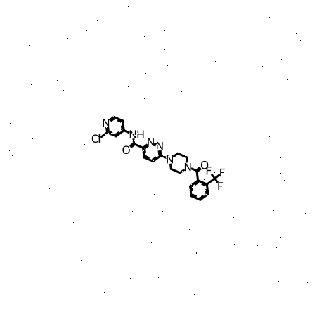 O=C(Nc1ccnc(Cl)c1)c1ccc(N2CCN(C(=O)c3ccccc3C(F)(F)F)CC2)nn1